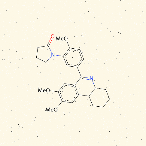 COc1cc2c(cc1OC)C1CCCCC1N=C2c1ccc(OC)c(N2CCCC2=O)c1